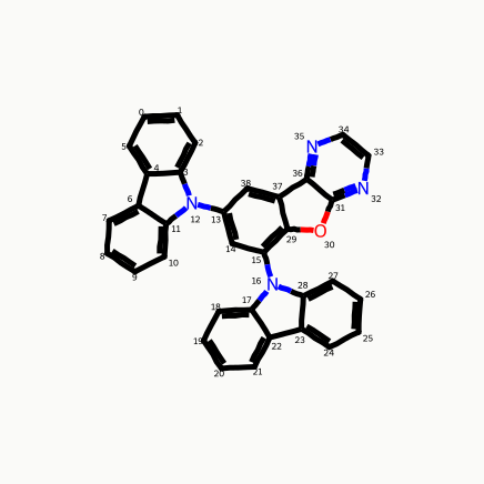 c1ccc2c(c1)c1ccccc1n2-c1cc(-n2c3ccccc3c3ccccc32)c2oc3nccnc3c2c1